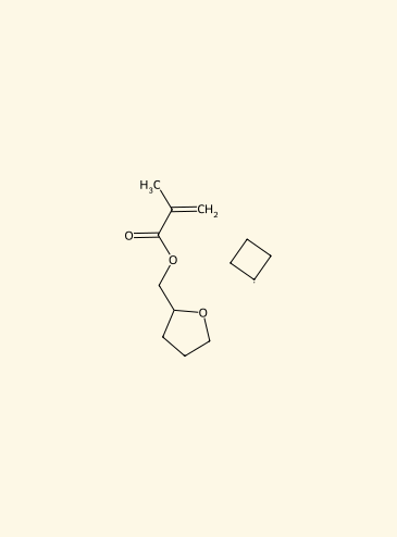 C=C(C)C(=O)OCC1CCCO1.[CH]1CCC1